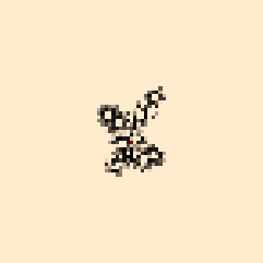 c1ccc(-c2ccc(N(c3ccc(-c4c(-n5c6ccccc6c6ccccc65)ccc5ccccc45)cc3)c3ccc4ccccc4c3)cc2)cc1